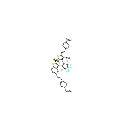 COc1ccc(C=Cc2ccc3sc(C)c(C4=C(c5c(C)sc(C=Cc6ccc(OC)cc6)c5C)C(F)(F)C(F)(F)C4(F)F)c3c2)cc1